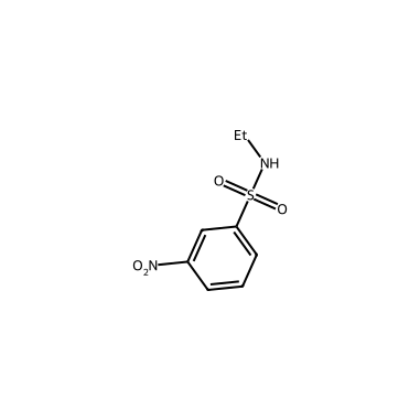 CCNS(=O)(=O)c1cccc([N+](=O)[O-])c1